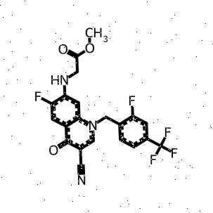 COC(=O)CNc1cc2c(cc1F)c(=O)c(C#N)cn2Cc1ccc(C(F)(F)F)cc1F